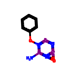 Np1n(Oc2ccccc2)pnp2on12